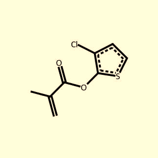 C=C(C)C(=O)Oc1sccc1Cl